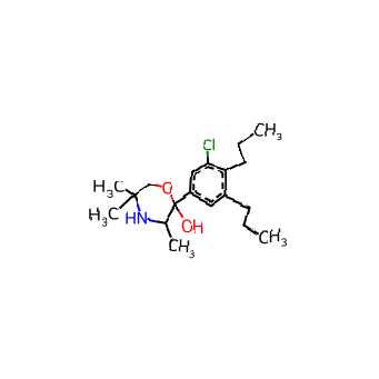 CCCc1cc(C2(O)OCC(C)(C)NC2C)cc(Cl)c1CCC